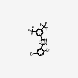 FC(F)(F)c1cc(-c2nnc(-c3cc(Br)ccc3Br)o2)cc(C(F)(F)F)c1